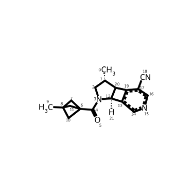 C[C@H]1CN(C(=O)C23CC(C)(C2)C3)[C@@H]2c3cncc(C#N)c3C21